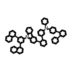 c1ccc(-c2ccccc2-c2ccc(N(c3ccccc3)c3cccc(-c4ccccc4-c4ccc5c(c4)c4ccccc4n5-c4cc(-c5cccc6ccccc56)cc(-c5cccc6ccccc56)c4)c3)cc2)cc1